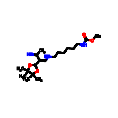 CC(C)(C)OC(=O)NCCCCCCN/C=C(/B1OC(C)(C)C(C)(C)O1)C(=N)C(F)(F)F